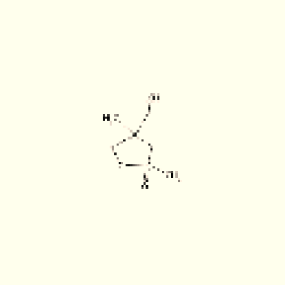 C#CC1(C)COP(C)(=O)C1